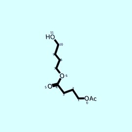 CC(=O)OCCCC(=O)OCCCCO